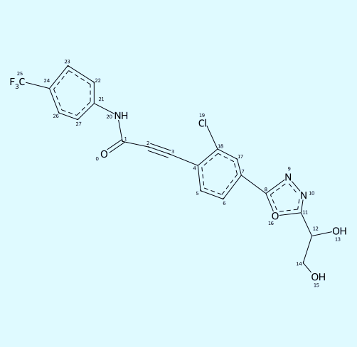 O=C(C#Cc1ccc(-c2nnc(C(O)CO)o2)cc1Cl)Nc1ccc(C(F)(F)F)cc1